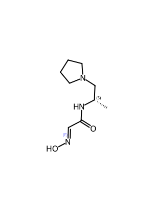 C[C@@H](CN1CCCC1)NC(=O)/C=N/O